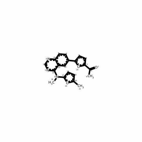 CC(=O)c1ccc(-c2ccc3ncnc(N(C)c4ccc(C)o4)c3c2)o1